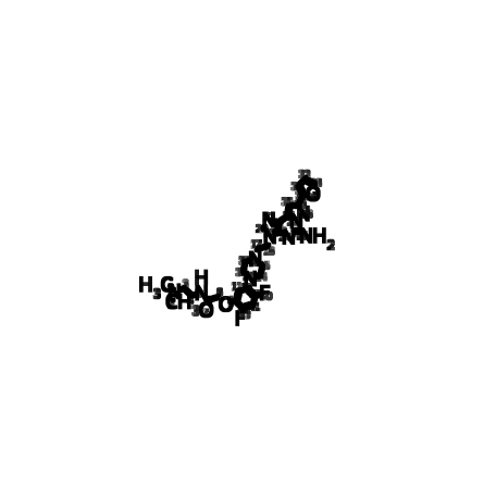 CN(C)CCNC(=O)COc1cc(N2CCN(CCn3cnc4c3nc(N)n3nc(-c5ccco5)cc43)CC2)c(F)cc1F